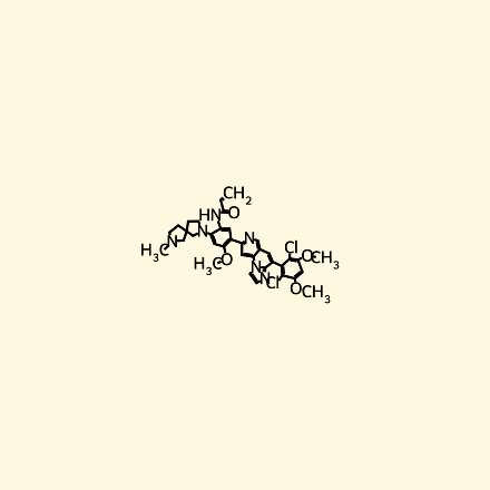 C=CC(=O)Nc1cc(-c2cc3c(cn2)cc(-c2c(Cl)c(OC)cc(OC)c2Cl)c2nccn23)c(OC)cc1N1CCC2(CCN(C)C2)C1